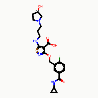 O=C(NC1CC1)c1ccc(F)c(COc2nsc(NCCCN3CC[C@@H](O)C3)c2C(=O)O)c1